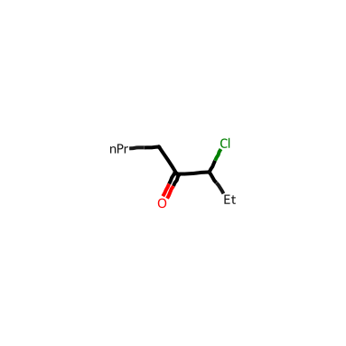 CCCCC(=O)C(Cl)CC